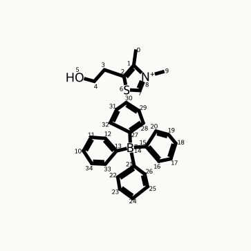 Cc1c(CCO)sc[n+]1C.c1ccc([B-](c2ccccc2)(c2ccccc2)c2ccccc2)cc1